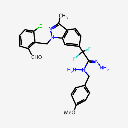 COc1ccc(CN(N)/C(=N\N)C(F)(F)c2ccc3c(C)nn(Cc4c(Cl)cccc4C=O)c3c2)cc1